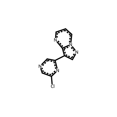 Clc1cncc(-c2cnn3cccnc23)n1